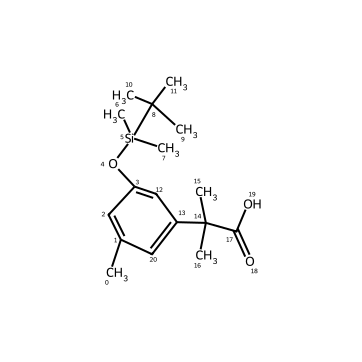 Cc1cc(O[Si](C)(C)C(C)(C)C)cc(C(C)(C)C(=O)O)c1